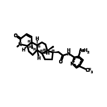 CN1C(=O)C=C[C@]2(C)[C@H]3CC[C@]4(C)[C@@H](CC(=O)Nc5ncc(C(F)(F)F)cc5[AsH2])CC[C@H]4[C@@H]3CC[C@@H]12